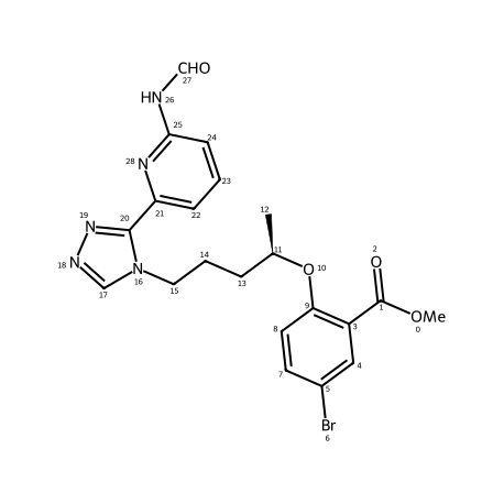 COC(=O)c1cc(Br)ccc1O[C@H](C)CCCn1cnnc1-c1cccc(NC=O)n1